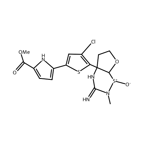 COC(=O)c1ccc(-c2cc(Cl)c(C34CCOC3[S+]([O-])N(C)C(=N)N4)s2)[nH]1